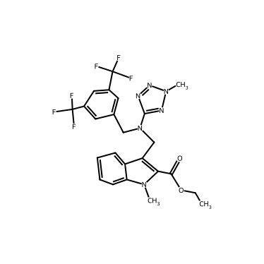 CCOC(=O)c1c(CN(Cc2cc(C(F)(F)F)cc(C(F)(F)F)c2)c2nnn(C)n2)c2ccccc2n1C